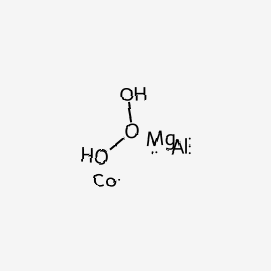 OOO.[Al].[Co].[Mg]